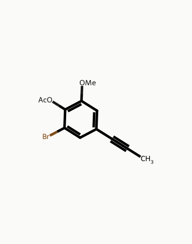 CC#Cc1cc(Br)c(OC(C)=O)c(OC)c1